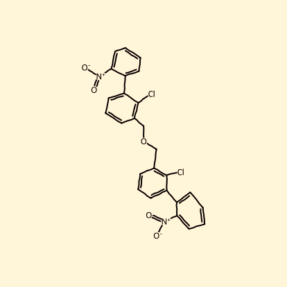 O=[N+]([O-])c1ccccc1-c1cccc(COCc2cccc(-c3ccccc3[N+](=O)[O-])c2Cl)c1Cl